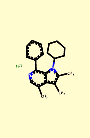 Cc1cnc(-c2ccccc2)c2c1c(C)c(C)n2C1CCCCC1.Cl